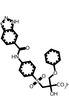 O=C(Nc1ccc(S(=O)(=O)CC(O)(COc2ccccc2)C(=O)O)cc1)c1ccc2nn[nH]c2c1